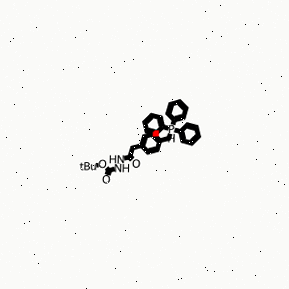 CC(C)(C)OC(=O)NNC(=O)Cc1ccc(C[PH](c2ccccc2)(c2ccccc2)c2ccccc2)cc1